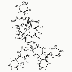 CC1(C)c2ccccc2-c2ccc(N(c3ccc4c(c3)S(C)(C)c3ccccc3C43c4ccccc4-c4cccc5c(-c6ccccc6)ccc3c45)c3ccc4c(c3)c3ccccc3n4-c3ccccc3)cc21